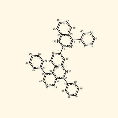 c1ccc(-c2nc(-c3ccc4c(c3)nc(-c3ccccc3)c3cccc(-c5ccccc5)c34)nc3ccccc23)cc1